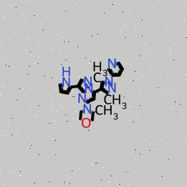 Cc1nn(-c2cccnc2)c(C)c1-c1cc(N2CCOC[C@H]2C)nc2c(-c3ccc[nH]3)cnn12